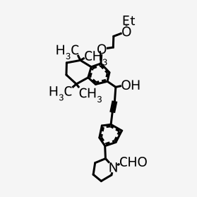 CCOCCOc1cc(C(O)C#Cc2ccc(C3CCCCN3C=O)cc2)cc2c1C(C)(C)CCC2(C)C